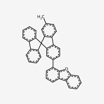 Cc1ccc2c(c1)C1(c3ccccc3-c3ccccc31)c1cc(-c3cccc4c3oc3ccccc34)ccc1-2